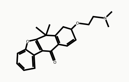 CN(C)CCOC1C=CC2=C(C1)C(C)(C)c1oc3ccccc3c1C2=O